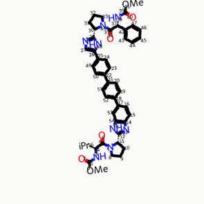 COC(=O)N[C@H](C(=O)N1CCC[C@H]1c1nc2ccc(-c3ccc(-c4ccc(-c5cnc([C@@H]6CCCN6C(=O)[C@H](NC(=O)OC)c6ccccc6)[nH]5)cc4)cc3)cc2[nH]1)C(C)C